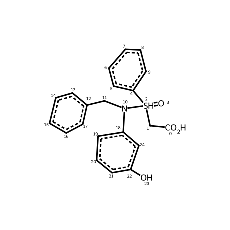 O=C(O)C[SH](=O)(c1ccccc1)N(Cc1ccccc1)c1cccc(O)c1